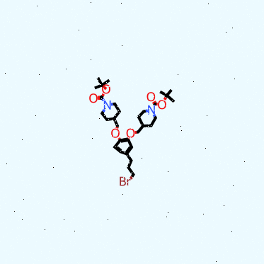 CC(C)(C)OC(=O)N1CCC(COc2ccc(CCCBr)cc2OCC2CCN(C(=O)OC(C)(C)C)CC2)CC1